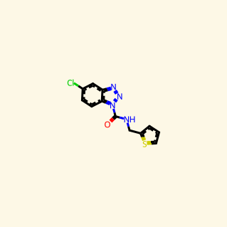 O=C(NCc1cccs1)n1nnc2cc(Cl)ccc21